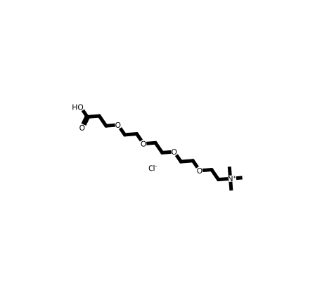 C[N+](C)(C)CCOCCOCCOCCOCCC(=O)O.[Cl-]